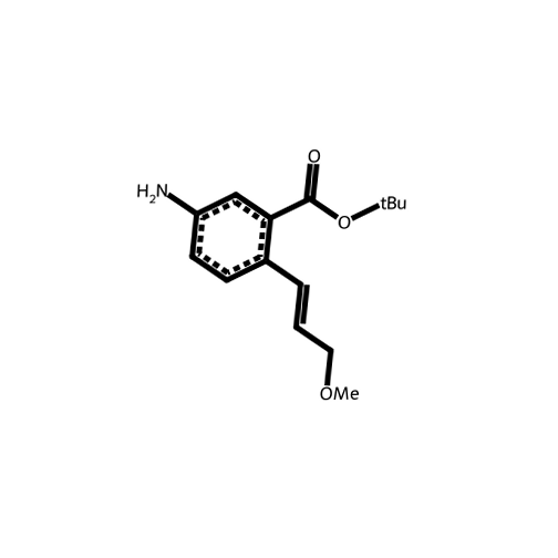 COCC=Cc1ccc(N)cc1C(=O)OC(C)(C)C